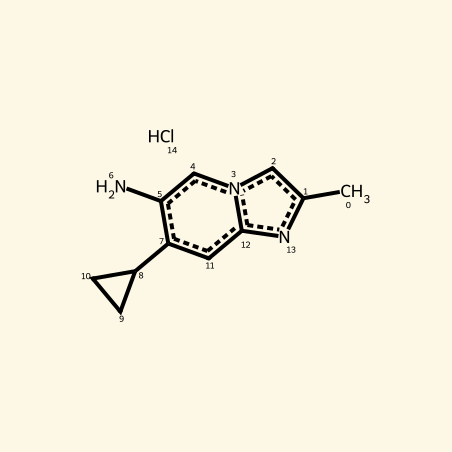 Cc1cn2cc(N)c(C3CC3)cc2n1.Cl